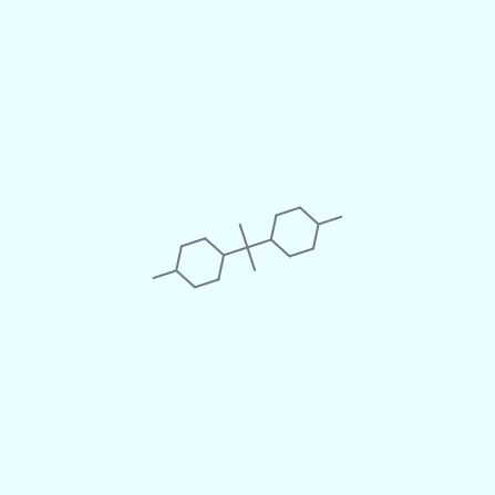 CC1CCC(C(C)(C)C2CCC(C)CC2)CC1